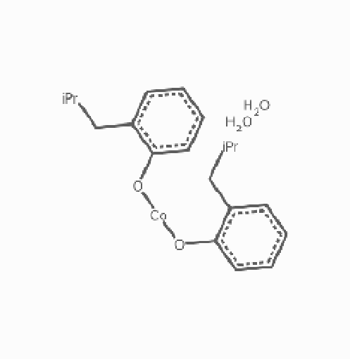 CC(C)Cc1ccccc1[O][Co][O]c1ccccc1CC(C)C.O.O